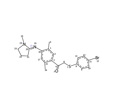 Cc1cc(C(=O)CSc2ccc(Br)cc2)c(C)cc1/N=C1\CCCN1C